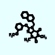 CN1C(=O)C2C(N=C(Oc3cccc(OC(F)(F)F)c3)N2Cc2ccc3ccccc3c2)N(C)C1=O